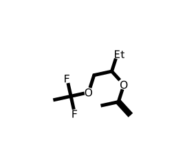 C=C(C)OC(CC)COC(C)(F)F